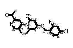 CC(=O)c1cc(-n2c(C)cc(OCc3ncc(Cl)cc3F)cc2=O)c(C)cn1